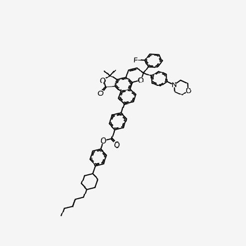 CCCCCC1CCC(c2ccc(OC(=O)c3ccc(-c4ccc5c6c(c7c(c5c4)C(=O)OC7(C)C)C=CC(c4ccc(N5CCOCC5)cc4)(c4ccccc4F)O6)cc3)cc2)CC1